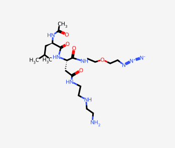 CC(=O)N[C@H](CC(C)C)C(=O)N[C@@H](CC(=O)NCCNCCN)C(=O)NCCOCCN=[N+]=[N-]